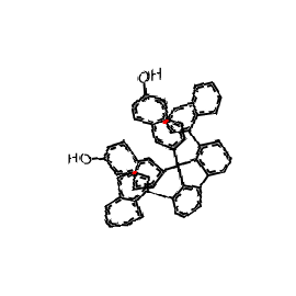 Oc1ccc2cc(C3(c4ccc5cc(O)ccc5c4)c4c(cccc4-c4cccc5ccccc45)-c4cccc(-c5cccc6ccccc56)c43)ccc2c1